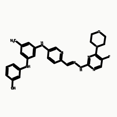 Cc1cc(Nc2ccc(/C=N/Nc3ncc(F)c(N4CCOCC4)n3)nc2)cc(Nc2cccc(O)c2)c1